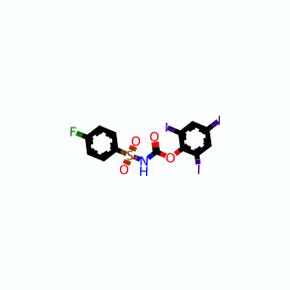 O=C(NS(=O)(=O)c1ccc(F)cc1)Oc1c(I)cc(I)cc1I